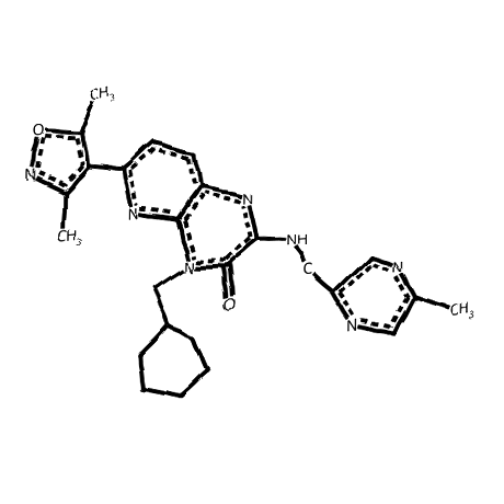 Cc1cnc(CNc2nc3ccc(-c4c(C)noc4C)nc3n(CC3CCCCC3)c2=O)cn1